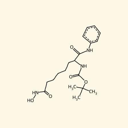 CC(C)(C)OC(=O)NC(CCCCCC(=O)NO)C(=O)Nc1ccccc1